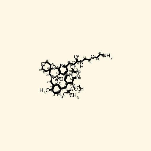 Cc1ccc([C@H](c2ccn3c(C(F)(F)F)nnc3c2C)C(C)(C)C(=O)O)cc1CN1CC2(CCOCC2)Oc2nc(CCC(=O)NCCOCCN)ccc2S1(=O)=O